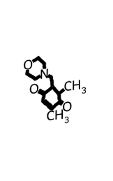 CC1=CC(=O)C(CN2CCOCC2)C(C)C1=O